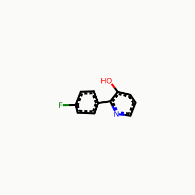 Oc1cccnc1-c1ccc(F)cc1